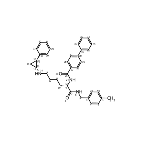 Cc1ccc(CNC(=O)[C@H](CCCCN[C@@H]2C[C@H]2c2ccccc2)NC(=O)c2ccc(-c3ccccc3)cc2)cc1